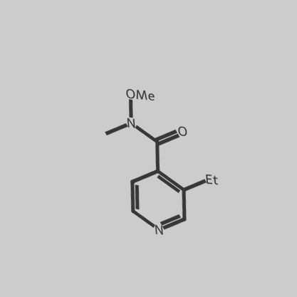 CCc1cnccc1C(=O)N(C)OC